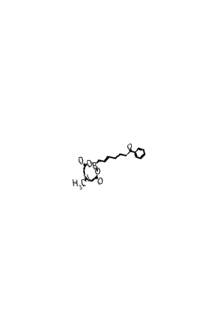 CN1CC(=O)OB(CC=CCCCC(=O)c2ccccc2)OC(=O)C1